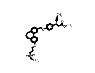 CC#C[C@@H](CC(=O)OC)c1ccc(OCc2ccc3c(c2)-c2ccc(OCCCS(=O)(=O)CC)cc2CCC3)cc1